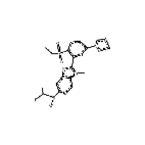 CCS(=O)(=O)c1ccc(-n2cncn2)nc1-c1nc2cc([S+]([O-])C(F)F)ncc2n1C